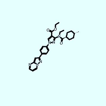 CCOC(=O)c1cn(-c2ccc(-c3cc4ncccn4n3)cc2)nc1N(CC)C(=O)[C@H]1CC[C@H](C)CC1